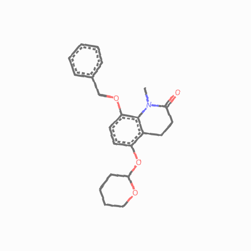 CN1C(=O)CCc2c(OC3CCCCO3)ccc(OCc3ccccc3)c21